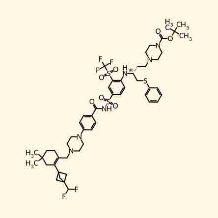 CC1(C)CCC(CN2CCN(c3ccc(C(=O)NS(=O)(=O)c4ccc(N[C@H](CCN5CCN(C(=O)OC(C)(C)C)CC5)CSc5ccccc5)c(S(=O)(=O)C(F)(F)F)c4)cc3)CC2)=C(C23CC(C(F)F)(C2)C3)C1